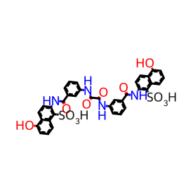 O=C(Nc1cccc(C(=O)Nc2ccc3c(O)cccc3c2S(=O)(=O)O)c1)C(=O)Nc1cccc(C(=O)Nc2ccc3c(O)cccc3c2S(=O)(=O)O)c1